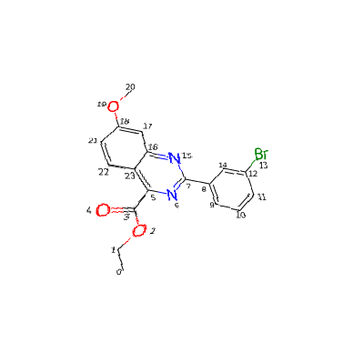 CCOC(=O)c1nc(-c2cccc(Br)c2)nc2cc(OC)ccc12